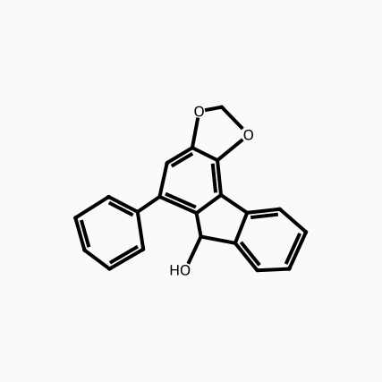 OC1c2ccccc2-c2c3c(cc(-c4ccccc4)c21)OCO3